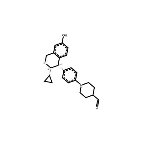 O=CC1CCN(c2ccc([C@H]3c4ccc(O)cc4CO[C@H]3C3CC3)cc2)CC1